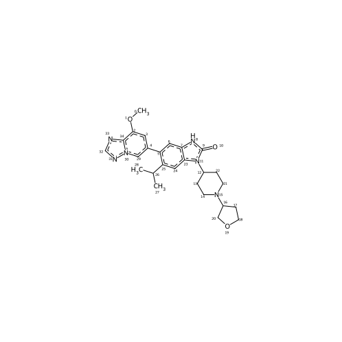 COc1cc(-c2cc3[nH]c(=O)n(C4CCN(C5CCOC5)CC4)c3cc2C(C)C)cn2ncnc12